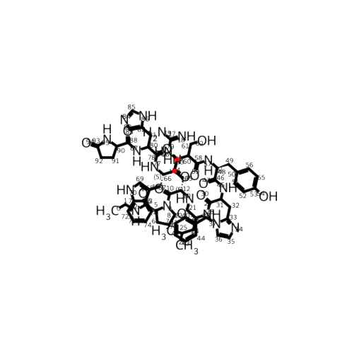 CCNC(=O)[C@@H]1CCCN1C(=O)[C@H](CCCNC(=N)N)NC(=O)C(CC(C)C)NC(=O)C(Cc1nccn1Cc1ccccc1)NC(=O)[C@H](Cc1ccc(O)cc1)NC(=O)C(CO)NC(=O)[C@H](Cc1c[nH]c2ccccc12)NC(=O)C(Cc1cnc[nH]1)NC(=O)C1CCC(=O)N1